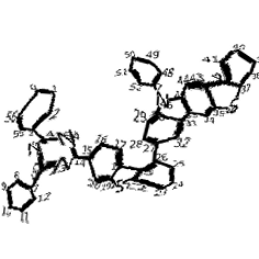 c1ccc(-c2nc(-c3ccccc3)nc(-c3ccc4c(c3)sc3cccc(-c5ccc6c(c5)c5cc7sc8ccccc8c7cc5n6-c5ccccc5)c34)n2)cc1